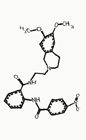 COc1cc2c(cc1OC)CN(CCNC(=O)c1ccccc1NC(=O)c1ccc([N+](=O)[O-])cc1)CC2